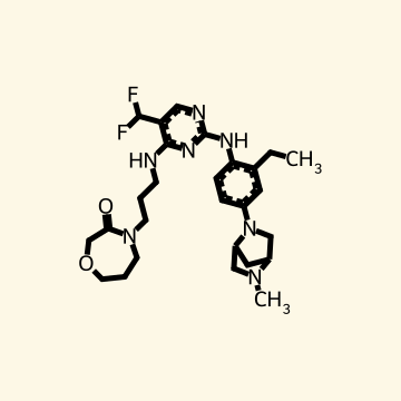 CCc1cc(N2CC3CC2CN3C)ccc1Nc1ncc(C(F)F)c(NCCCN2CCCOCC2=O)n1